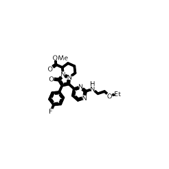 CCOCCNc1nccc(-c2c(-c3ccc(F)cc3)c(=O)n3n2CCCC3C(=O)OC)n1